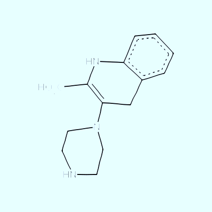 O=C(O)C1=C(N2CCNCC2)Cc2ccccc2N1